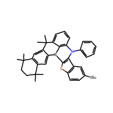 CC(C)(C)c1ccc2sc3c(c2c1)N(c1ccccc1)c1cccc2c1B3c1cc3c(cc1C2(C)C)C(C)(C)CCC3(C)C